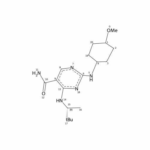 COC1CCC(Nc2ncc(C(N)=O)c(N[C@H](C)C(C)(C)C)n2)CC1